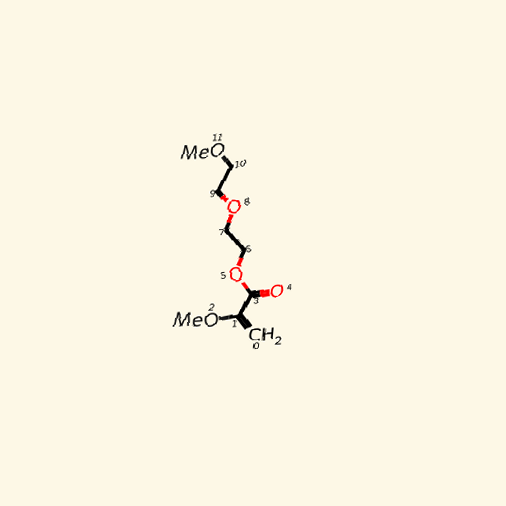 C=C(OC)C(=O)OCCOCCOC